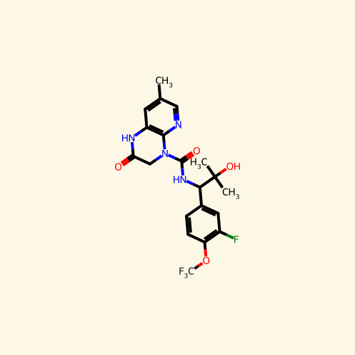 Cc1cnc2c(c1)NC(=O)CN2C(=O)NC(c1ccc(OC(F)(F)F)c(F)c1)C(C)(C)O